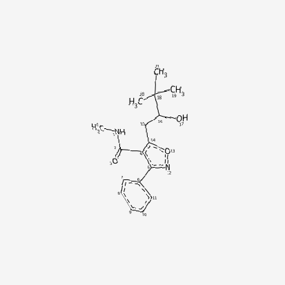 CNC(=O)c1c(-c2ccccc2)noc1CC(O)C(C)(C)C